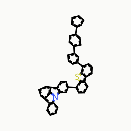 c1ccc(-c2ccc(-c3cccc(-c4cccc5c4sc4c(-c6ccc7c8cccc9c%10ccccc%10n(c7c6)c98)cccc45)c3)cc2)cc1